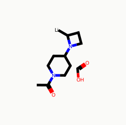 O=CO.[Li][CH]1CCN1C1CCN(C(C)=O)CC1